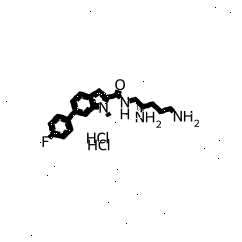 Cl.Cl.Cn1c(C(=O)NC[C@@H](N)CCCN)cc2ccc(-c3ccc(F)cc3)cc21